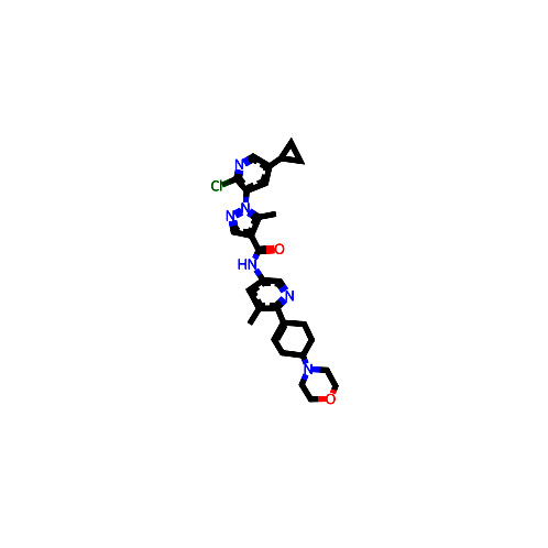 Cc1cc(NC(=O)c2cnn(-c3cc(C4CC4)cnc3Cl)c2C)cnc1C1=CCC(N2CCOCC2)CC1